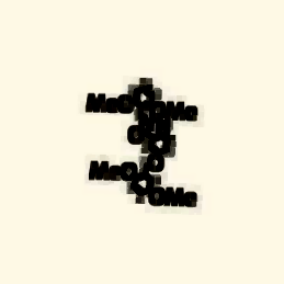 COc1ccc(OC)c(COc2ccc3ncn(Cc4c(OC)cccc4OC)c(=O)c3c2)c1